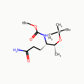 C[C@@H](O[Si](C)(C)C(C)(C)C)[C@H](CCC(N)=O)NC(=O)OC(C)(C)C